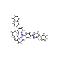 c1ccc2cc(-c3ccc(N(c4ccc(-c5ccc6c(n5)sc5ccccc56)cc4)c4cccc5sc6ccccc6c45)cc3)ccc2c1